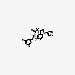 C[C@H](NC(=O)C(C)(F)F)[C@H](Oc1ccc2c(cnn2-c2cnsc2)c1)c1cc(F)cc(F)c1